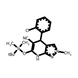 Cn1cc2c(n1)NC(O[Si](C)(C)C(C)(C)C)=C(C#N)C2c1ccccc1Cl